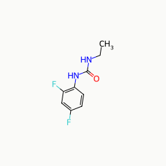 CCNC(=O)Nc1ccc(F)cc1F